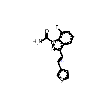 NC(=O)n1nc(/C=C/c2ccsc2)c2c[c]cc(F)c21